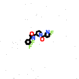 O=C(c1ccc(F)nc1)N1CCCC(c2nc(-c3cccc(F)c3F)co2)C1